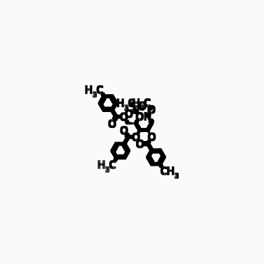 CON=C[C@H](OC(=O)c1ccc(C)cc1)[C@@H](OC(=O)c1ccc(C)cc1)[C@H](COC(=O)c1ccc(C)cc1)OS(C)(=O)=O